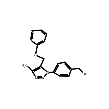 Cc1nnn(-c2ccc(CO)cc2)c1COc1cccnn1